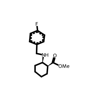 COC(=O)[C@H]1CCCC[C@H]1NCc1ccc(F)cc1